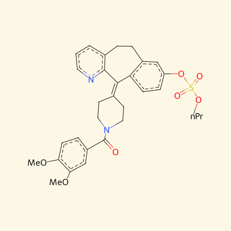 CCCOS(=O)(=O)Oc1ccc2c(c1)CCc1cccnc1C2=C1CCN(C(=O)c2ccc(OC)c(OC)c2)CC1